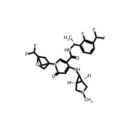 C[C@@H](NC(=O)c1cn(C23COC(C(F)F)(C2)C3)c(=O)cc1NC1[C@H]2CN(C)C[C@@H]12)c1cccc(C(F)F)c1F